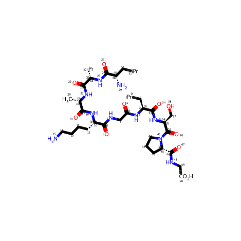 CC(C)C[C@H](NC(=O)CNC(=O)[C@H](CCCCN)NC(=O)[C@H](C)NC(=O)[C@@H](NC(=O)[C@@H](N)CC(C)C)C(C)C)C(=O)N[C@@H](CO)C(=O)N1CCC[C@H]1C(=O)NCC(=O)O